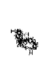 CC(C)Nc1cc(Oc2ccc(NC(=O)Nc3cc(C(C)(C)C)nn3-c3ccc4c(c3)CCNC4)cc2)ccn1